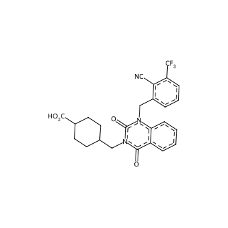 N#Cc1c(Cn2c(=O)n(CC3CCC(C(=O)O)CC3)c(=O)c3ccccc32)cccc1C(F)(F)F